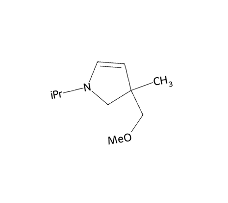 COCC1(C)C=CN(C(C)C)C1